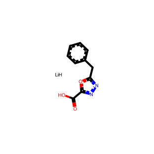 O=C(O)c1nnc(Cc2ccccc2)o1.[LiH]